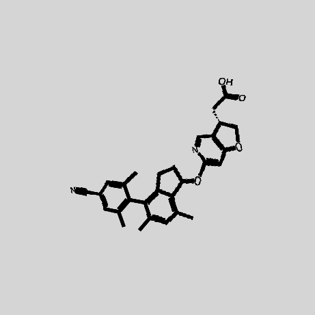 Cc1cc(C#N)cc(C)c1-c1c(C)cc(C)c2c1CCC2Oc1cc2c(cn1)[C@H](CC(=O)O)CO2